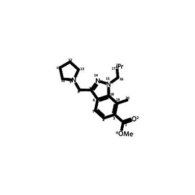 COC(=O)c1ccc2c(CN3CCCC3)nn(CC(C)C)c2c1C